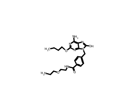 CCCCOc1nc(N)c2nc(O)n(Cc3ccc(C(=O)NCCOCCN)cc3)c2n1